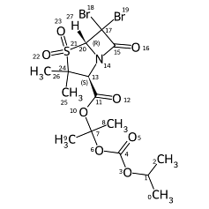 CC(C)OC(=O)OC(C)(C)OC(=O)[C@@H]1N2C(=O)C(Br)(Br)[C@H]2S(=O)(=O)C1(C)C